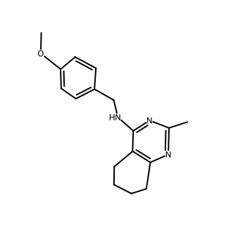 COc1ccc(CNc2nc(C)nc3c2CCCC3)cc1